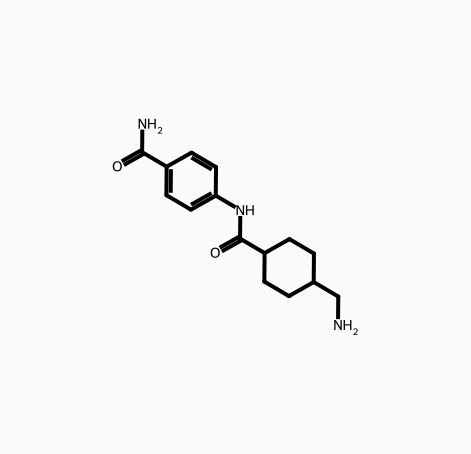 NCC1CCC(C(=O)Nc2ccc(C(N)=O)cc2)CC1